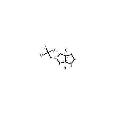 CC(C)(C)CN1C[C@H]2CCN[C@H]2C1